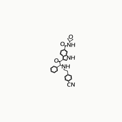 N#Cc1ccc(CCNC(C(=O)c2c[nH]c3cc(C(=O)NC4COC4)ccc23)c2ccccc2)cc1